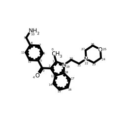 Cc1c(C(=O)c2ccc(CN)cc2)c2ccccc2n1CCN1CCOCC1